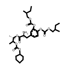 CCC(C)COC(=O)Oc1ccc(C[C@H](N)C(=O)O[C@@H](C)C(C)OC(=O)OC2CCCCC2)cc1OC(=O)OCC(C)CC